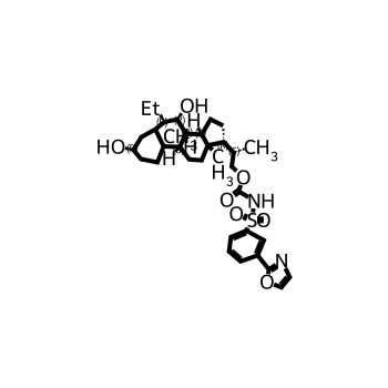 CC[C@@H]1C2C[C@H](O)CCC2(C)[C@H]2CCC3(C)[C@@H]([C@H](C)COC(=O)NS(=O)(=O)c4cccc(-c5ncco5)c4)CC[C@H]3[C@H]2[C@@H]1O